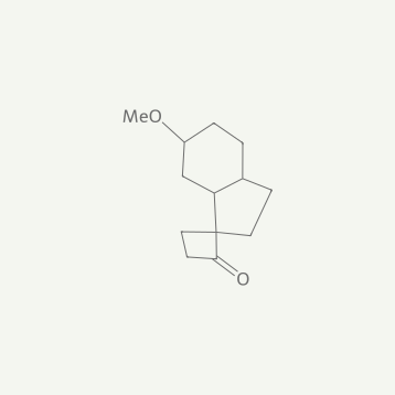 COC1CCC2CCC3(CCC3=O)C2C1